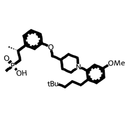 COc1ccc(CCCC(C)(C)C)c(N2CCC(COc3cccc([C@@H](C)CP(C)(=O)O)c3)CC2)c1